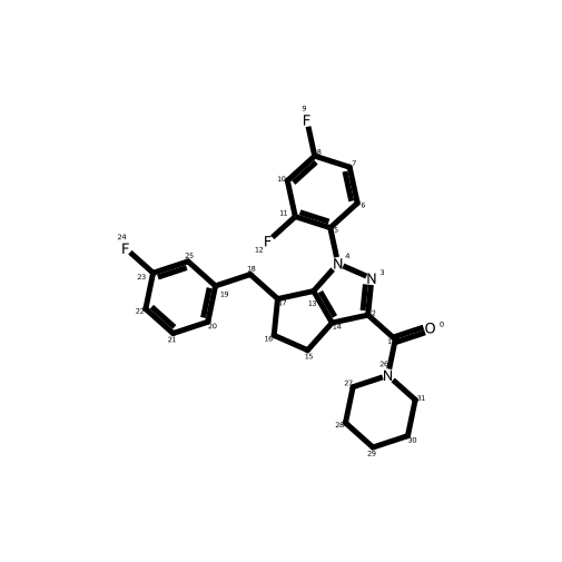 O=C(c1nn(-c2ccc(F)cc2F)c2c1CCC2Cc1cccc(F)c1)N1CCCCC1